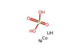 O=S(=O)(O)O.[Co].[LiH].[Ni]